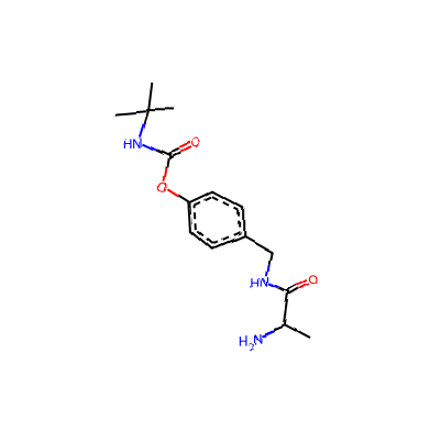 CC(N)C(=O)NCc1ccc(OC(=O)NC(C)(C)C)cc1